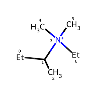 CCC(C)[N+](C)(C)CC